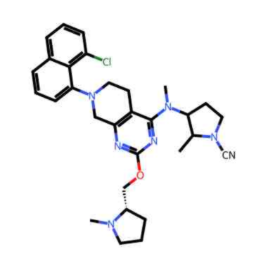 CC1C(N(C)c2nc(OC[C@@H]3CCCN3C)nc3c2CCN(c2cccc4cccc(Cl)c24)C3)CCN1C#N